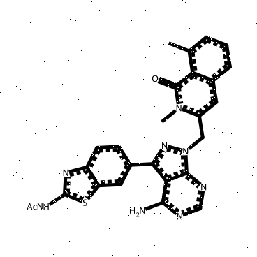 CC(=O)Nc1nc2ccc(-c3nn(Cc4cc5cccc(C)c5c(=O)n4C)c4ncnc(N)c34)cc2s1